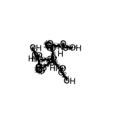 O=C(NCCC[Si]1(OCCCO[Si](CCCNC(=O)OCCCO)(OCCCO)OCCCO[Si]2(CCCNC(=O)OCCO)OCCCO2)OCCCO1)OCCO